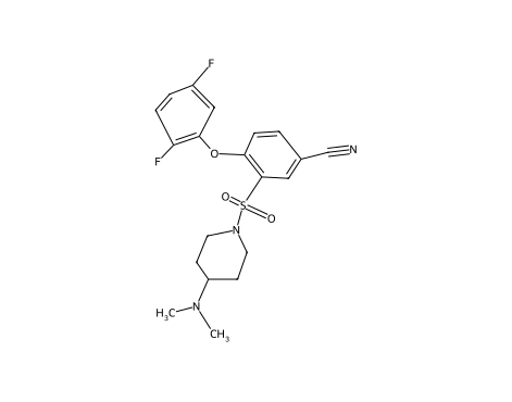 CN(C)C1CCN(S(=O)(=O)c2cc(C#N)ccc2Oc2cc(F)ccc2F)CC1